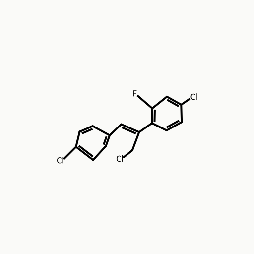 Fc1cc(Cl)ccc1C(=Cc1ccc(Cl)cc1)CCl